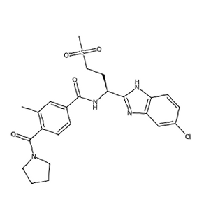 Cc1cc(C(=O)N[C@@H](CCS(C)(=O)=O)c2nc3cc(Cl)ccc3[nH]2)ccc1C(=O)N1CCCC1